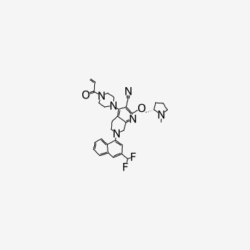 C=CC(=O)N1CCN(c2c(C#N)c(OC[C@@H]3CCCN3C)nc3c2CCN(c2cc(C(F)F)cc4ccccc24)C3)CC1